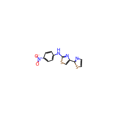 O=[N+]([O-])c1ccc(Nc2nc(-c3nccs3)cs2)cc1